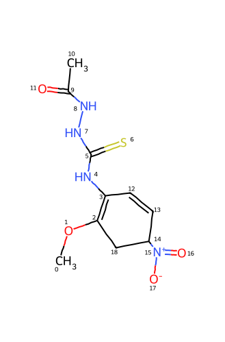 COC1=C(NC(=S)NNC(C)=O)C=CC([N+](=O)[O-])C1